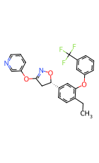 CCc1ccc([C@@H]2CC(Oc3cccnc3)=NO2)cc1Oc1cccc(C(F)(F)F)c1